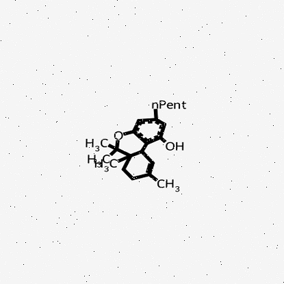 CCCCCc1cc(O)c2c(c1)OC(C)(C)C1(C)CCC(C)=CC21